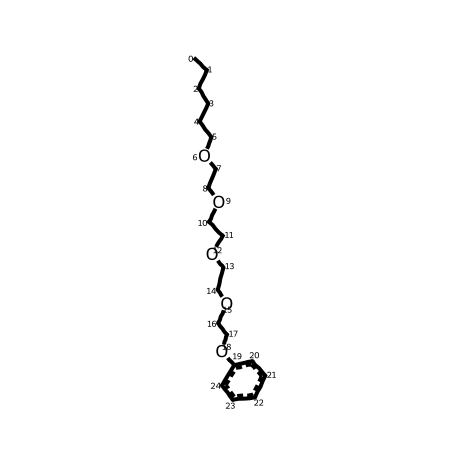 CCCCCCOCCOCCOCCOCCOc1ccccc1